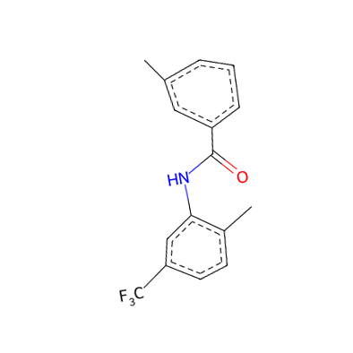 Cc1cccc(C(=O)Nc2cc(C(F)(F)F)ccc2C)c1